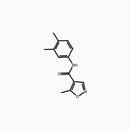 Cc1ccc(NC(=O)c2cnoc2C)cc1C